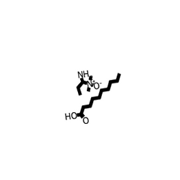 CCC(N)[N+](C)(C)[O-].CCCCCCCCCC(=O)O